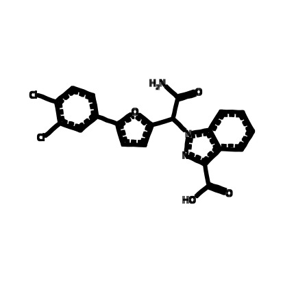 NC(=O)C(c1ccc(-c2ccc(Cl)c(Cl)c2)o1)n1nc(C(=O)O)c2ccccc21